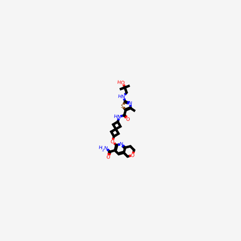 Cc1nc(NCC(C)(C)O)sc1C(=O)NC1CC2(C1)CC(Oc1nc3c(cc1C(N)=O)COCC3)C2